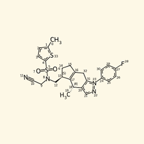 Cc1ccc(S(=O)(=O)N(CC#N)C[C@H]2CCC3=C2[C@@H](C)c2cnn(-c4ccc(F)cc4)c2C3)s1